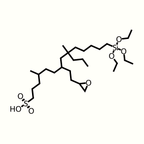 CCCC(C)(CCCCC[Si](OCC)(OCC)OCC)CC(CCC(C)CCCS(=O)(=O)O)CCC1CO1